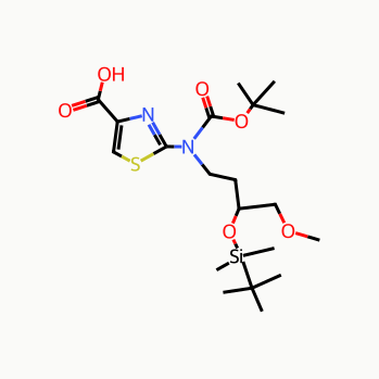 COCC(CCN(C(=O)OC(C)(C)C)c1nc(C(=O)O)cs1)O[Si](C)(C)C(C)(C)C